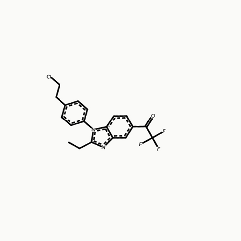 CCc1nc2cc(C(=O)C(F)(F)F)ccc2n1-c1ccc(CCCl)cc1